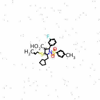 C=CCS[C@@H]1C(CC2CCCC2)N(S(=O)(=O)c2ccc(C)cc2)C(c2cccc(F)c2)[C@@H]1C(=O)O